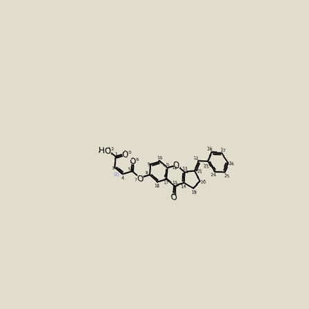 O=C(O)/C=C\C(=O)Oc1ccc2oc3c(c(=O)c2c1)CCC3=Cc1ccccc1